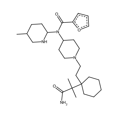 CC1CCC(N(C(=O)c2ccco2)C2CCN(CCC3(C(C)(C)C(N)=O)CCCCC3)CC2)NC1